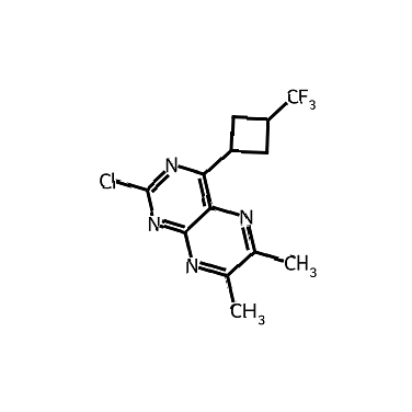 Cc1nc2nc(Cl)nc(C3CC(C(F)(F)F)C3)c2nc1C